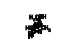 Cc1cn(C2CC(C)(O)C2)c2nnc(-c3c(O)cc(C(F)(F)F)cc3C#N)cc12